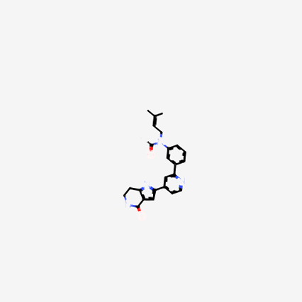 CC(C)=CCN(C(=O)C(F)(F)F)c1cccc(-c2cc(-c3cc4c([nH]3)CCNC4=O)ccn2)c1